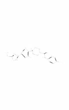 O=C(Nc1ccc(C(F)(F)F)cn1)N1CCC(F)(c2ncc(-c3noc(CO)n3)cc2Cl)CC1